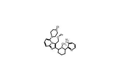 CCN1CCN(c2cccc3nc(C4CCCC(c5ncccc5C)N4C)c(COC(C)C)n23)CC1